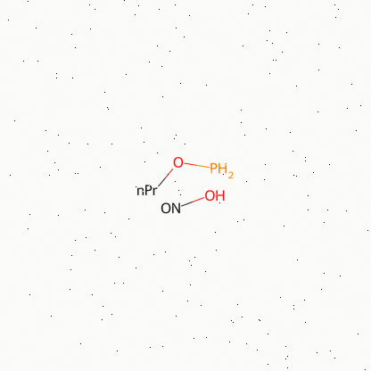 CCCOP.O=NO